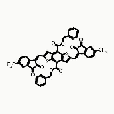 O=C1C(=O)c2cc(C(F)(F)F)ccc2/C1=C/c1cc2c(C(=O)OCc3ccccc3)c3sc(/C=C4\C(=O)C(=O)c5cc(C(F)(F)F)ccc54)cc3c(C(=O)OCc3ccccc3)c2s1